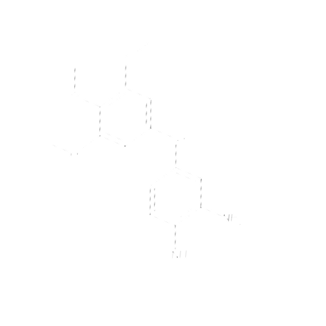 COc1cc([Se]c2ccc(N)c(N)c2)cc(OC)c1OC